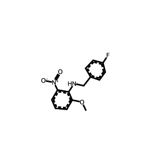 COc1cccc([N+](=O)[O-])c1NCc1ccc(F)cc1